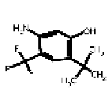 CC(C)(C)c1cc(C(F)(F)F)c(N)cc1O